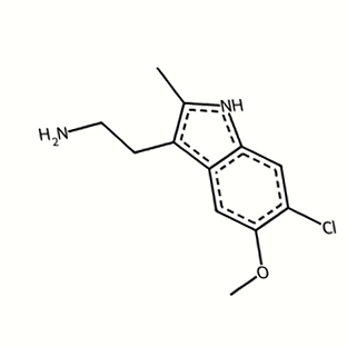 COc1cc2c(CCN)c(C)[nH]c2cc1Cl